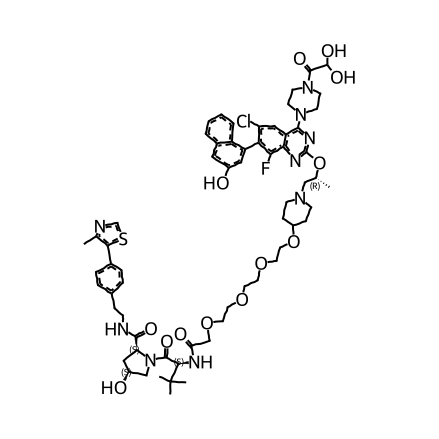 Cc1ncsc1-c1ccc(CCNC(=O)[C@@H]2C[C@H](O)CN2C(=O)[C@@H](NC(=O)COCCOCCOCCOC2CCN(C[C@@H](C)Oc3nc(N4CCN(C(=O)C(O)O)CC4)c4cc(Cl)c(-c5cc(O)cc6ccccc56)c(F)c4n3)CC2)C(C)(C)C)cc1